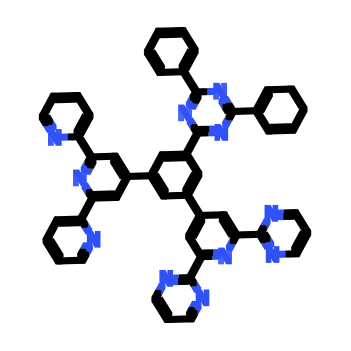 C1=CC(c2nc(-c3ccccc3)nc(-c3cc(-c4cc(-c5ccccn5)nc(-c5ccccn5)c4)cc(-c4cc(-c5ncccn5)nc(-c5ncccn5)c4)c3)n2)=CCC1